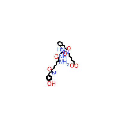 COC(=O)CCCCCNC(=O)[C@H](CC1CCCCC1)NC(=O)CNC(=O)[C@H](N)CCCCC(=O)[C@H](Cc1ccc(O)cc1)N(C)C